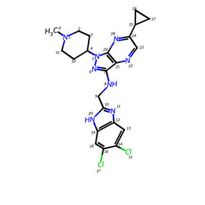 CN1CCC(n2nc(NCc3nc4cc(Cl)c(Cl)cc4[nH]3)c3ncc(C4CC4)nc32)CC1